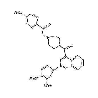 COc1ccc(C(=O)CN2CCN(C(=O)c3cc(-c4ccc(OC)c(OC)c4)nc4ccccc34)CC2)cc1